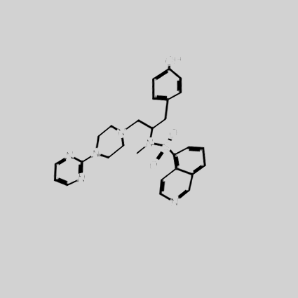 CN(C(Cc1ccc(O)cc1)CN1CCN(c2ncccn2)CC1)S(=O)(=O)c1cccc2cnccc12